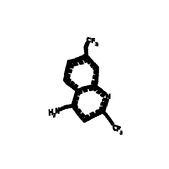 Nc1cc(C(F)(F)F)nc2cc(C(F)(F)F)ccc12